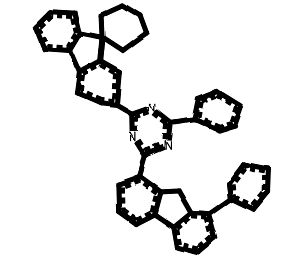 c1ccc(-c2nc(-c3ccc4c(c3)C3(CCCCC3)c3ccccc3-4)nc(-c3cccc4c3Cc3c(-c5ccccc5)cccc3-4)n2)cc1